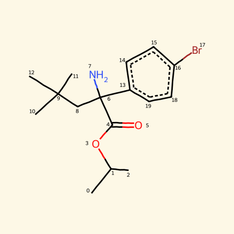 CC(C)OC(=O)C(N)(CC(C)(C)C)c1ccc(Br)cc1